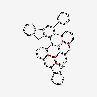 c1ccc(-c2ccccc2N(c2ccccc2-c2cccc3c2[nH]c2ccccc23)c2c3c(cc(-c4ccccc4)c2-c2ccccc2)-c2ccccc2C3)cc1